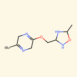 CC1NC(COC2=NCC(C(C)(C)C)=NC2)NO1